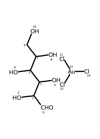 O=CC(O)C(O)C(O)C(O)CO.[Cl][Au]([Cl])[Cl]